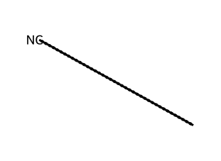 CC#CC#CC#CC#CC#CC#CC#CC#CC#CC#CC#CC#CC#CC#CC#CC#CC#CC#CC#CC#CC#CC#CC#CC#CC#CC#CC#CC#CC#CC#CC#CC#CC#CC#CC#CC#CC#CC#CC#CC#CC#N